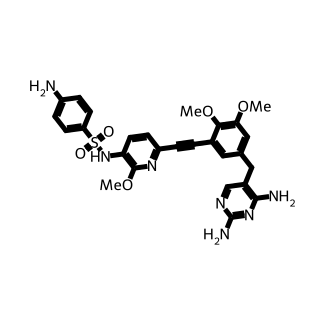 COc1cc(Cc2cnc(N)nc2N)cc(C#Cc2ccc(NS(=O)(=O)c3ccc(N)cc3)c(OC)n2)c1OC